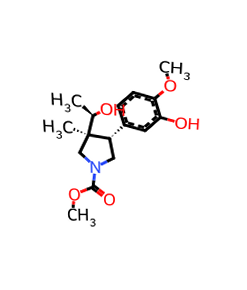 COC(=O)N1C[C@@H](c2ccc(OC)c(O)c2)[C@](C)([C@@H](C)O)C1